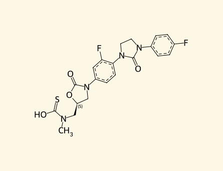 CN(C[C@@H]1CN(c2ccc(N3CCN(c4ccc(F)cc4)C3=O)c(F)c2)C(=O)O1)C(O)=S